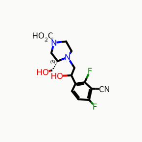 N#Cc1c(F)ccc(C(O)CN2CCN(C(=O)O)C[C@H]2CO)c1F